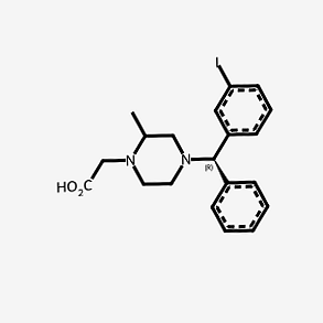 CC1CN([C@H](c2ccccc2)c2cccc(I)c2)CCN1CC(=O)O